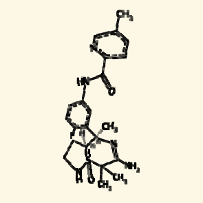 Cc1ccc(C(=O)Nc2ccc(F)c([C@@]3(C)N=C(N)C(C)(C)[SH]4(=O)NCC[C@@H]34)c2)nc1